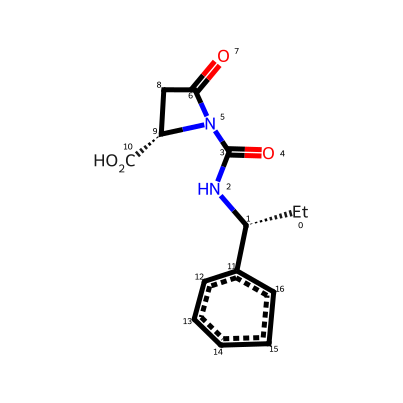 CC[C@@H](NC(=O)N1C(=O)C[C@H]1C(=O)O)c1ccccc1